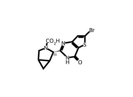 O=C(O)N1CC2CC2[C@H]1c1nc2cc(Br)sc2c(=O)[nH]1